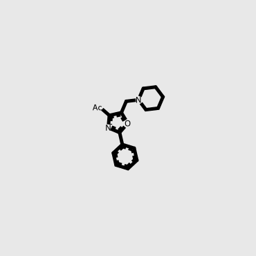 CC(=O)c1nc(-c2ccccc2)oc1CN1CCCCC1